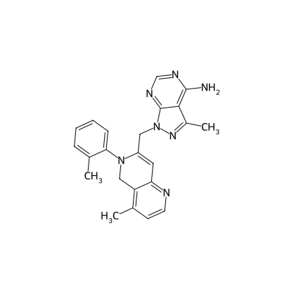 Cc1ccccc1N1Cc2c(C)ccnc2C=C1Cn1nc(C)c2c(N)ncnc21